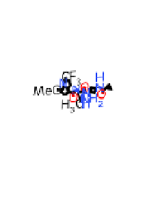 COc1ccc(-c2nc(C(=O)N[C@H]3C[C@@H](NC(=O)C4CC4)C3)c([C@H](C)N)o2)c2ccc(C(F)(F)F)nc12